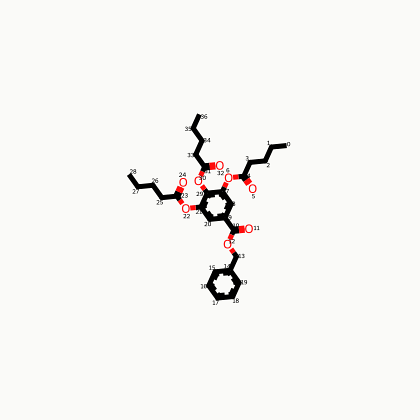 CCCCC(=O)Oc1cc(C(=O)OCc2ccccc2)cc(OC(=O)CCCC)c1OC(=O)CCCC